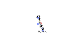 CN(C)C1CCN(c2ccc(NC(=O)CSCCc3ccccn3)cc2)C1